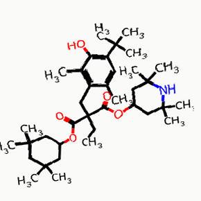 CCC(Cc1c(C)cc(C(C)(C)C)c(O)c1C)(C(=O)OC1CC(C)(C)CC(C)(C)C1)C(=O)OC1CC(C)(C)NC(C)(C)C1